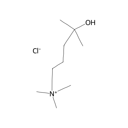 CC(C)(O)CCC[N+](C)(C)C.[Cl-]